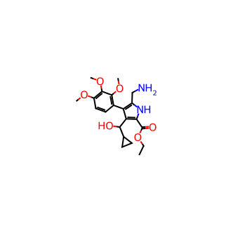 CCOC(=O)c1[nH]c(CN)c(-c2ccc(OC)c(OC)c2OC)c1C(O)C1CC1